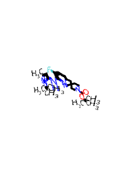 Cc1cc(Nc2nc(CC3(C#N)CCN(C(=O)OC(C)(C)C)CC3)ccc2F)n(C(C)(C)C)n1